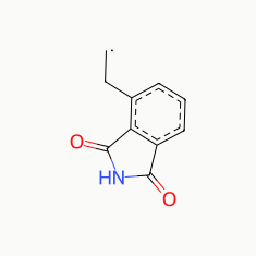 [CH2]Cc1cccc2c1C(=O)NC2=O